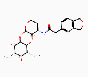 CN[C@@H]1[C@H](O)[C@H](NC)C2O[C@]3(O)C(OC2[C@@H]1O)O[C@H](C)C[C@H]3NC(=O)Cc1ccc2c(c1)COC2